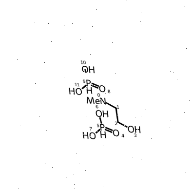 CNCCO.O=[PH](O)O.O=[PH](O)O